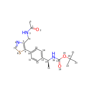 CC(=O)NCc1ncsc1-c1ccc([C@H](C)NC(=O)OC(C)(C)C)cc1